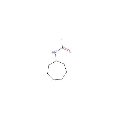 CC(=O)NC1CCCCCC1